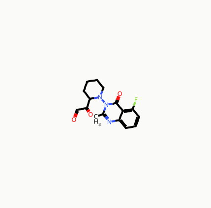 Cc1nc2cccc(F)c2c(=O)n1N1CCCCC1C(=O)C=O